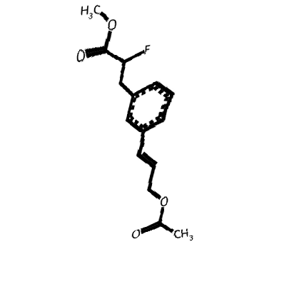 COC(=O)C(F)Cc1cccc(/C=C/COC(C)=O)c1